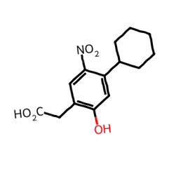 O=C(O)Cc1cc([N+](=O)[O-])c(C2CCCCC2)cc1O